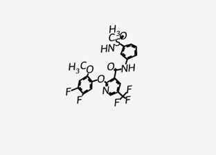 COc1cc(F)c(F)cc1Oc1ncc(C(F)(F)F)cc1C(=O)Nc1cccc(S(C)(=N)=O)c1